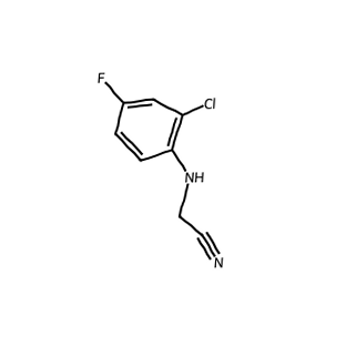 N#CCNc1ccc(F)cc1Cl